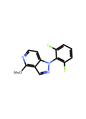 COc1nccc2c1[c]nn2-c1c(F)cccc1F